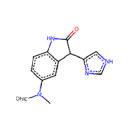 CN(C=O)c1ccc2c(c1)C(c1c[nH]cn1)C(=O)N2